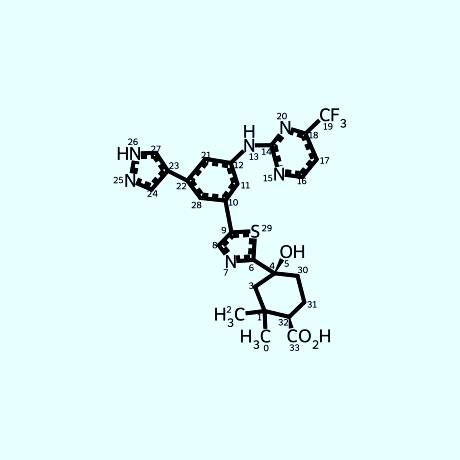 CC1(C)C[C@](O)(c2ncc(-c3cc(Nc4nccc(C(F)(F)F)n4)cc(-c4cn[nH]c4)c3)s2)CC[C@H]1C(=O)O